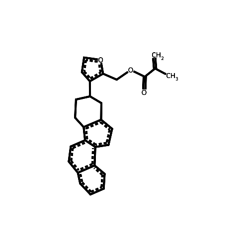 C=C(C)C(=O)OCc1occc1C1CCc2c(ccc3c2ccc2ccccc23)C1